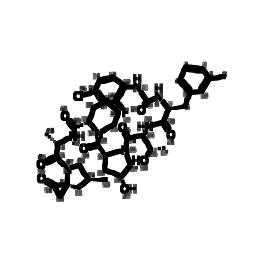 Cc1cccc(C[C@H](NC(=O)Nc2ccc(Cl)cc2F)C(=O)N[C@H](C(=O)N2C[C@H](O)C[C@H]2C(=O)N2CCCC[C@H]2C(=O)N[C@@H](C)C(=O)N2C[C@@H](C)C[C@@]23CC3=O)[C@H](C)O)c1